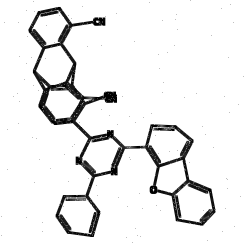 N#Cc1cccc2c1C1c3c(C#N)cccc3C2c2ccc(-c3nc(-c4ccccc4)nc(-c4cccc5c4oc4ccccc45)n3)c(C#N)c21